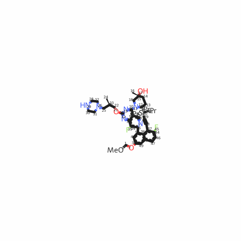 COCOc1cc(-c2ncc3c(N4CCC[C@@](C)(O)C4)nc(OC[C@H](C)CN4CCNCC4)nc3c2F)c2c(C#C[Si](C(C)C)(C(C)C)C(C)C)c(F)ccc2c1